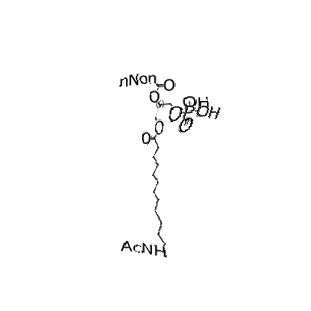 CCCCCCCCCC(=O)O[C@@H](COC(=O)CCCCCCCCCCCNC(C)=O)COP(=O)(O)O